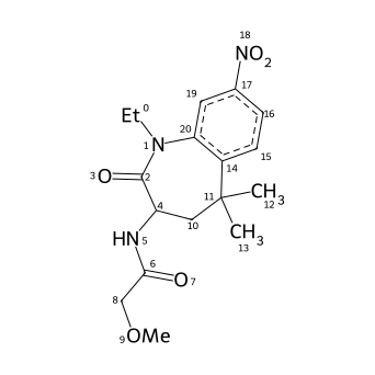 CCN1C(=O)C(NC(=O)COC)CC(C)(C)c2ccc([N+](=O)[O-])cc21